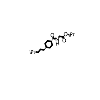 CC(C)CCC[C@H]1CC[C@H](C(=O)NCC(=O)OC(C)C)CC1